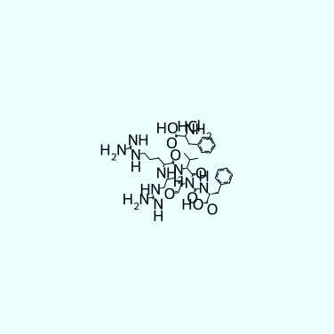 CC(C)[C@H](NC(=O)[C@@H](N)CCCNC(=N)N)C(=O)N(C(=O)N[C@@H](Cc1ccccc1)C(=O)O)[C@H](C=O)CCCNC(=N)N.Cl.N[C@@H](Cc1ccccc1)C(=O)O